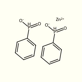 O=[PH]([O-])c1ccccc1.O=[PH]([O-])c1ccccc1.[Zn+2]